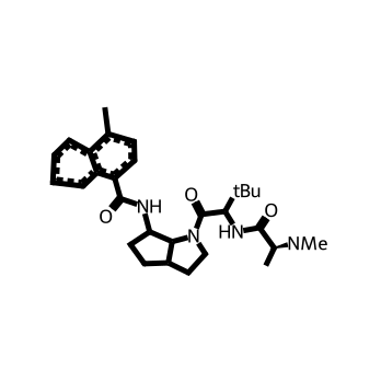 CN[C@@H](C)C(=O)NC(C(=O)N1CCC2CCC(NC(=O)c3ccc(C)c4ccccc34)C21)C(C)(C)C